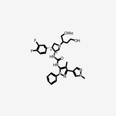 COCC(CCO)N1C[C@@H](NC(=O)Nc2c(C)c(-c3cnn(C)c3)nn2-c2ccccc2)[C@H](c2ccc(F)c(F)c2)C1